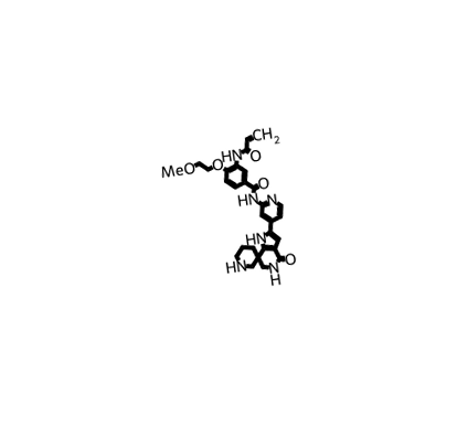 C=CC(=O)Nc1cc(C(=O)Nc2cc(-c3cc4c([nH]3)C3(CCCNC3)CNC4=O)ccn2)ccc1OCCOC